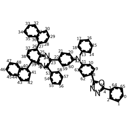 c1ccc(-c2nnc(-c3ccc(N(c4ccccc4)c4ccc(-c5nc6c(-c7cccc8ccccc78)ccc(-c7cccc8ccccc78)c6nc5-c5ccccc5)cc4)cc3)o2)cc1